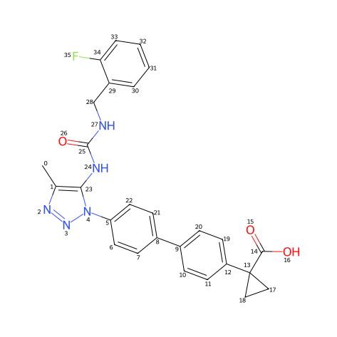 Cc1nnn(-c2ccc(-c3ccc(C4(C(=O)O)CC4)cc3)cc2)c1NC(=O)NCc1ccccc1F